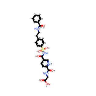 O=C(O)CNC(=O)c1ccc(C(=O)NS(=O)(=O)c2ccc(CCNC(=O)c3ccccc3)cc2)cn1